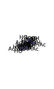 CC(=O)N/C(=C(\O)C(CCO)OC(O)/C(N)=C(\O)C(O)CCO)C(O)OC1C(CO)OC(OC(CCO)/C(O)=C(/NC(C)=O)C(O)OC(CCO)/C(O)=C(\NC(C)=O)C(O)O)C(NC(C)=O)C1O